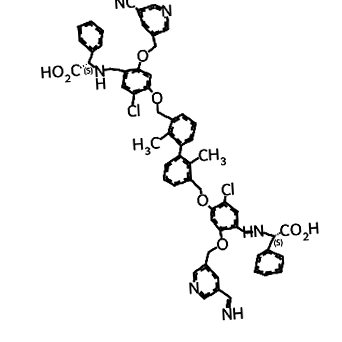 Cc1c(COc2cc(OCc3cncc(C#N)c3)c(CN[C@H](C(=O)O)c3ccccc3)cc2Cl)cccc1-c1cccc(COc2cc(OCc3cncc(C=N)c3)c(CN[C@H](C(=O)O)c3ccccc3)cc2Cl)c1C